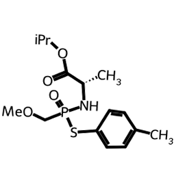 COCP(=O)(N[C@@H](C)C(=O)OC(C)C)Sc1ccc(C)cc1